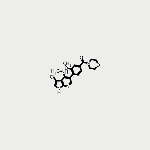 CNc1c(-c2ccc(C(=O)N3CCOCC3)cc2OC)cnc2[nH]cc(Cl)c12